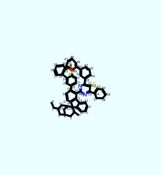 CCC1CC2CC(C)C3(c4ccccc4-c4c3ccc(-c3ccc5c(c3)-c3c#cccc3S5(C)C)c4-c3nc(-c4cccc(-c5ccccc5)c4)c4sc5c(c4n3)CCC=C5)C(C1)C2